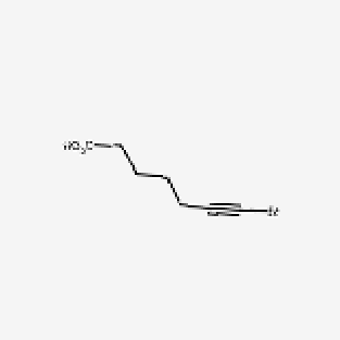 CCC#CCCCCC(=O)O